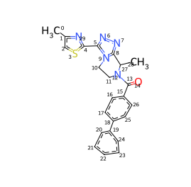 Cc1csc(-c2nnc3n2CCN(C(=O)c2ccc(-c4ccccc4)cc2)C3C)n1